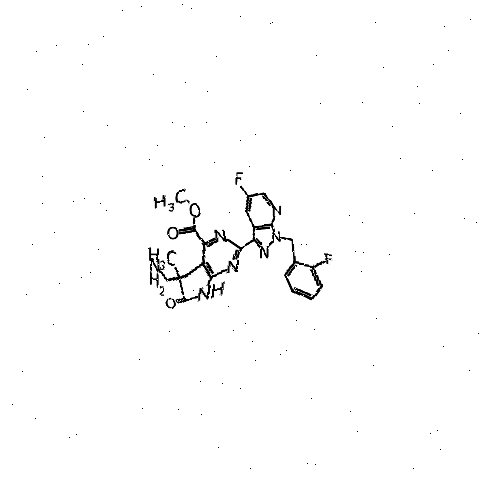 COC(=O)c1nc(-c2nn(Cc3ccccc3F)c3ncc(F)cc23)nc2c1C(C)(CN)C(=O)N2